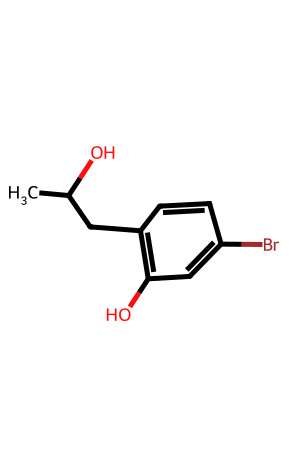 CC(O)Cc1ccc(Br)cc1O